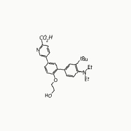 CCN(CC)c1ccc(-c2cc(-c3ccc(C(=O)O)nc3)ccc2OCCO)cc1C(C)(C)C